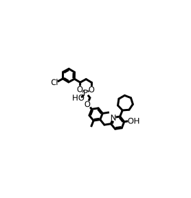 Cc1cc(OC[P]2(O)OCCC(c3cccc(Cl)c3)O2)cc(C)c1Cc1ccc(O)c(C2CCCCCC2)n1